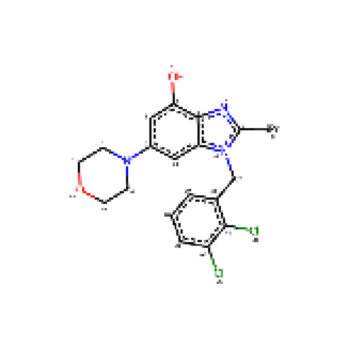 CC(C)c1nc2c(O)cc(N3CCOCC3)cc2n1Cc1cccc(Cl)c1Cl